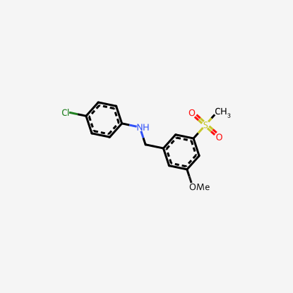 COc1cc(CNc2ccc(Cl)cc2)cc(S(C)(=O)=O)c1